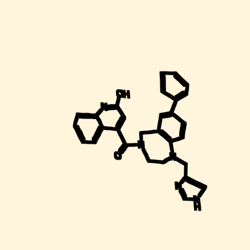 O=C(c1cc(O)nc2ccccc12)N1CCN(Cc2c[nH]cn2)c2ccc(-c3ccccc3)cc2C1